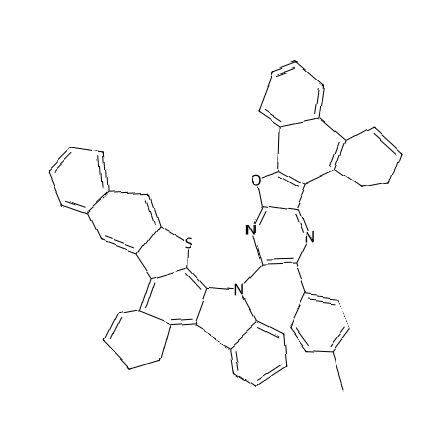 Cc1ccc(-c2nc3c(nc2-n2c4ccccc4c4c5c(c6c7cc8ccccc8cc7sc6c42)C=CCC5)oc2c4ccccc4c4c(c32)CCC=C4)cc1